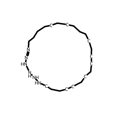 C1CCCCCCCCCCCNNNN/N=N/CCCCCCCCCC1